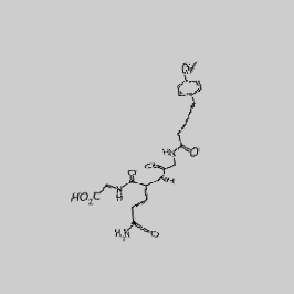 NC(=O)CCC(NC(=O)CNC(=O)CCc1ccc(O)cc1)C(=O)NCC(=O)O